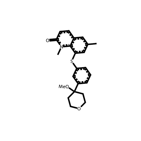 COC1(c2cccc(Sc3cc(C)cc4ccc(=O)n(C)c34)c2)CCOCC1